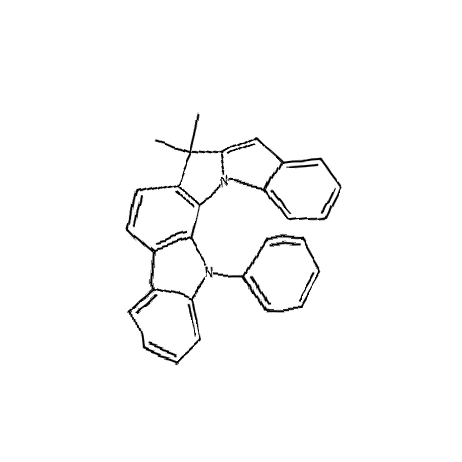 CC1(C)c2ccc3c4ccccc4n(-c4ccccc4)c3c2-n2c1cc1ccccc12